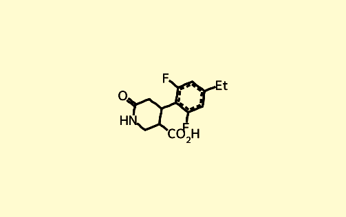 CCc1cc(F)c(C2CC(=O)NCC2C(=O)O)c(F)c1